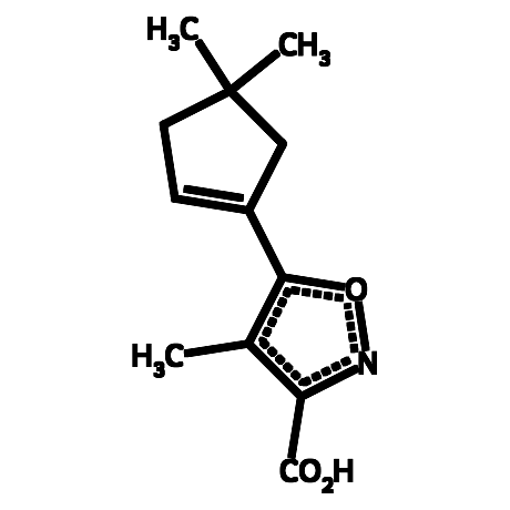 Cc1c(C(=O)O)noc1C1=CCC(C)(C)C1